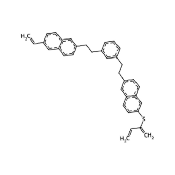 C=CC(=C)Sc1ccc2cc(CCc3cccc(CCc4ccc5cc(C=C)ccc5c4)c3)ccc2c1